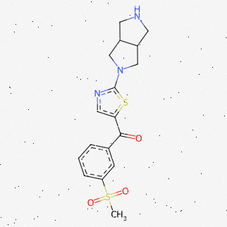 CS(=O)(=O)c1cccc(C(=O)c2cnc(N3CC4CNCC4C3)s2)c1